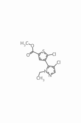 CCn1ncc(Cl)c1-c1cc(C(=O)OC)sc1Cl